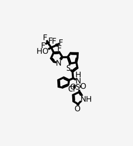 O=c1ccc(S(=O)(=O)NC(c2cc3cccc(-c4cc(C(O)(C(F)(F)F)C(F)(F)F)ccn4)c3s2)c2ccccc2Cl)c[nH]1